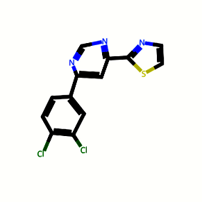 Clc1ccc(-c2cc(-c3nccs3)ncn2)cc1Cl